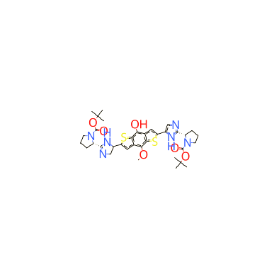 COc1c2cc(C3CN=C([C@@H]4CCCN4C(=O)OC(C)(C)C)N3)sc2c(O)c2cc(-c3cnc([C@@H]4CCCN4C(=O)OC(C)(C)C)[nH]3)sc12